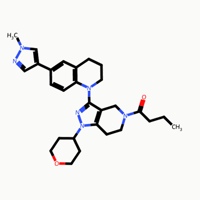 CCCC(=O)N1CCc2c(c(N3CCCc4cc(-c5cnn(C)c5)ccc43)nn2C2CCOCC2)C1